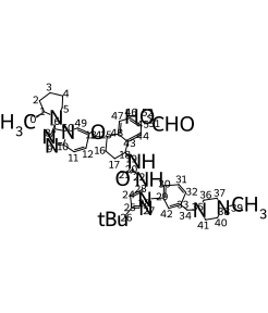 C[C@H]1CCCCN1c1nnc2ccc(O[C@@H]3CC[C@H](NC(=O)Nc4cc(C(C)(C)C)nn4-c4cccc(CN5CCN(C)CC5)c4)c4ccccc43)cn12.O=CO